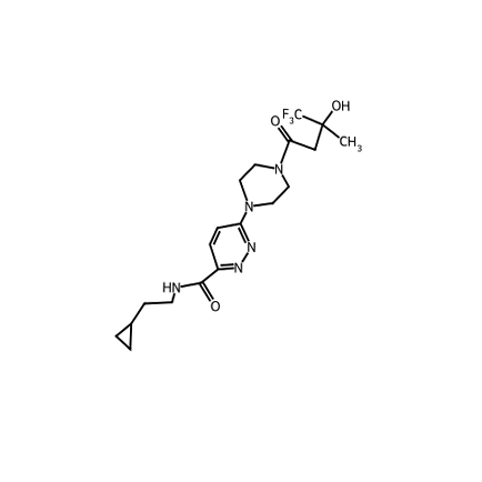 CC(O)(CC(=O)N1CCN(c2ccc(C(=O)NCCC3CC3)nn2)CC1)C(F)(F)F